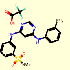 CNS(=O)(=O)c1cccc(Nc2cc(Nc3cccc([N+](=O)[O-])c3)ncn2)c1.O=C(O)C(F)(F)F